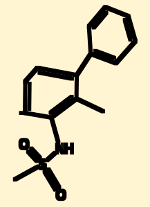 Cc1c(NS(C)(=O)=O)[c]ccc1-c1ccccc1